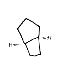 C1C[C@@H]2CC[C@@H]2C1